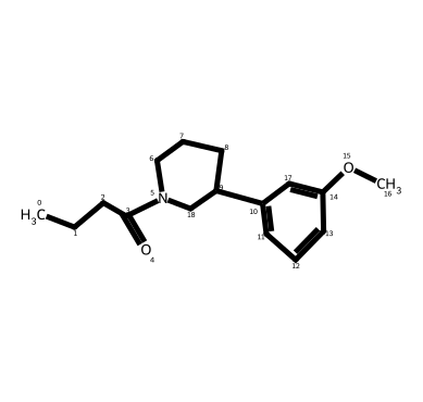 CCCC(=O)N1CCCC(c2cccc(OC)c2)C1